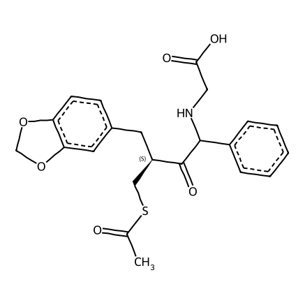 CC(=O)SC[C@@H](Cc1ccc2c(c1)OCO2)C(=O)C(NCC(=O)O)c1ccccc1